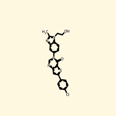 Cc1nc2cc(-n3cnc4cc(-c5ccc(Cl)cc5)sc4c3=O)ccc2n1CCO